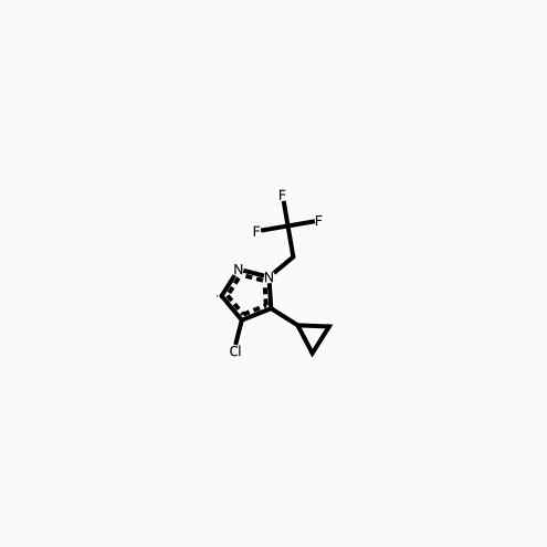 FC(F)(F)Cn1n[c]c(Cl)c1C1CC1